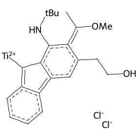 COC(C)=c1c(CCO)cc2c(c1NC(C)(C)C)[C]([Ti+2])=c1ccccc1=2.[Cl-].[Cl-]